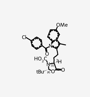 [2H][C@]1(CCc2c(C)c3cc(OC)ccc3n2C(=O)c2ccc(Cl)cc2)C(=O)O[C@H](C(C)(C)C)N1C(=O)O